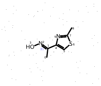 C/C(=N\O)c1csc(C)n1